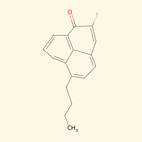 CCCCc1ccc2c3c(cccc13)C(=O)C(F)=C2